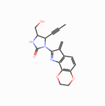 C=C1C(N2C(=O)NC(CO)C2C#CC)=Nc2c1ccc1c2OCCO1